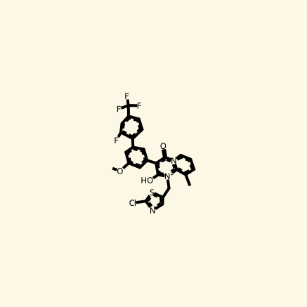 COc1cc(-c2ccc(C(F)(F)F)cc2F)cc(-c2c(O)[n+](Cc3cnc(Cl)s3)c3c(C)cccn3c2=O)c1